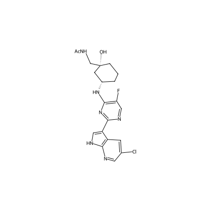 CC(=O)NC[C@@]1(O)CCC[C@H](Nc2nc(-c3c[nH]c4ncc(Cl)cc34)ncc2F)C1